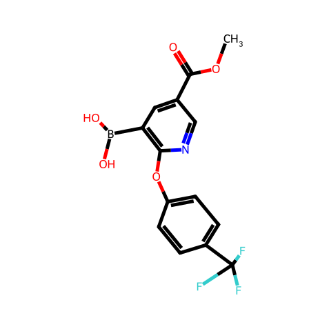 COC(=O)c1cnc(Oc2ccc(C(F)(F)F)cc2)c(B(O)O)c1